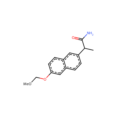 COCOc1ccc2cc(C(C)C(N)=O)ccc2c1